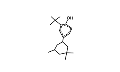 CC1CC(c2ccc(O)c(C(C)(C)C)c2)CC(C)(C)C1